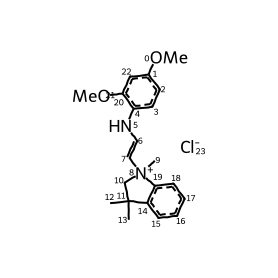 COc1ccc(N/C=C/[N+]2(C)CC(C)(C)c3ccccc32)c(OC)c1.[Cl-]